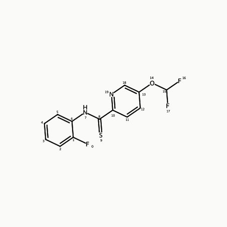 Fc1ccccc1NC(=S)c1ccc(OC(F)F)cn1